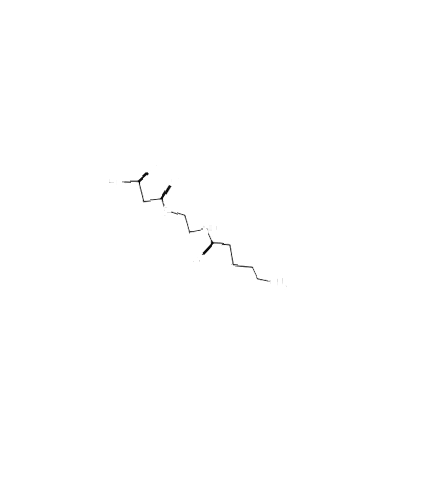 CCCCCC(=O)NCCSC(=O)CC(=O)O